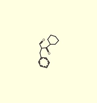 O=CC(Cc1ccccc1)C(=O)C1CCCCC1